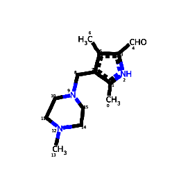 Cc1[nH]c(C=O)c(C)c1CN1CCN(C)CC1